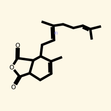 CC(C)=CCC/C(C)=C/CC1C(C)=CCC2C(=O)OC(=O)C21